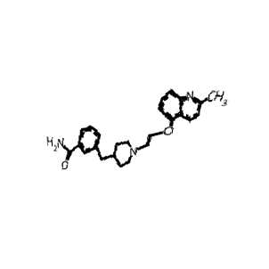 Cc1ccc2c(OCCN3CCC(Cc4cccc(C(N)=O)c4)CC3)cccc2n1